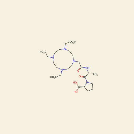 C[C@@H](NC(=O)CN1CCN(CC(=O)O)CCN(CC(=O)O)CCN(CC(=O)O)CC1)C(=O)N1CCC[C@H]1B(O)O